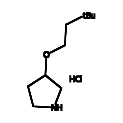 CC(C)(C)CCOC1CCNC1.Cl